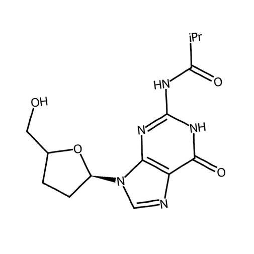 CC(C)C(=O)Nc1nc2c(ncn2[C@H]2CCC(CO)O2)c(=O)[nH]1